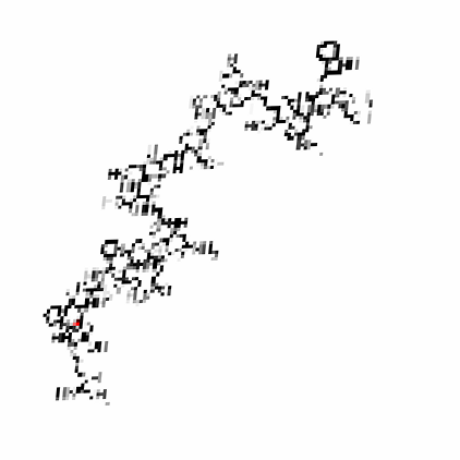 C[C@@H](O)[C@H](NC(=O)CNC(=O)[C@H](CO)NC(=O)[C@H](CO)NC(=O)CNC(=O)[C@H](CO)NC(=O)[C@H](CC(N)=O)NC(=O)[C@H](Cc1c[nH]c2ccccc12)NC(=O)[C@@H](N)CO)C(=O)NCC(=O)N[C@@H](CO)C(=O)N[C@H](C(=O)NCC(=O)N[C@@H](CC(N)=O)C(=O)N[C@@H](CCC(N)=O)C(=O)N[C@@H](CC(N)=O)C(=O)N1CCC[C@H]1C(=O)NCC(=O)N[C@@H](CO)C(=O)N1CCC[C@H]1C(=O)N[C@@H](CCCNC(=N)N)C(=O)O)[C@@H](C)O